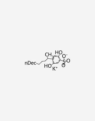 CCCCCCCCCCCCCC(C)c1cc(O)c(S(=O)(=O)[O-])cc1O.[K+]